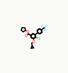 O=C(OC1CCCC1)c1cc(OCC2CC2)c(Cl)c(-c2ccc(C(F)(F)F)cc2)c1